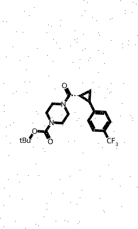 CC(C)(C)OC(=O)N1CCN(C(=O)[C@@H]2CC2c2ccc(C(F)(F)F)cc2)CC1